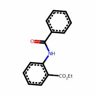 CCOC(=O)c1ccccc1NC(=O)c1ccccc1